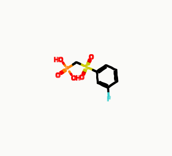 O=P(O)(O)CS(=O)(=O)c1cccc(F)c1